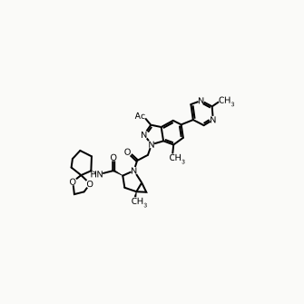 CC(=O)c1nn(CC(=O)N2C3C[C@]3(C)C[C@H]2C(=O)N[C@H]2CCCCC23OCCO3)c2c(C)cc(-c3cnc(C)nc3)cc12